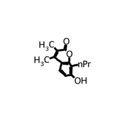 CCCc1c(O)ccc2c(C)c(C)c(=O)oc12